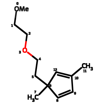 COCCOCCC1(C)C=CC(C)=C1